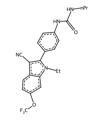 CCCNC(=O)Nc1ccc(-c2c(C#N)c3ccc(OC(F)(F)F)cc3n2CC)cc1